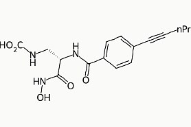 CCCC#Cc1ccc(C(=O)N[C@@H](CNC(=O)O)C(=O)NO)cc1